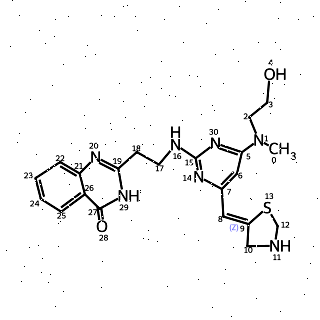 CN(CCO)c1cc(/C=C2/CNCS2)nc(NCCc2nc3ccccc3c(=O)[nH]2)n1